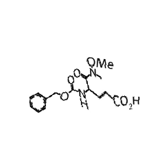 CON(C)C(=O)C(CCC(=O)O)NC(=O)OCc1ccccc1